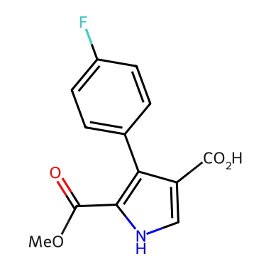 COC(=O)c1[nH]cc(C(=O)O)c1-c1ccc(F)cc1